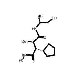 CCCCCCCC[C@@H](C(=O)N[C@H](CO)C(C)(C)C)[C@@H](C(=O)NO)C1CCCC1